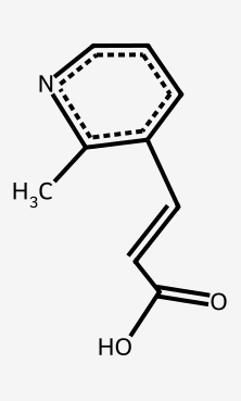 Cc1ncccc1C=CC(=O)O